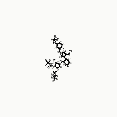 CC(C)(C)[Si](C)(C)OC[C@H]1C[C@@H](Nc2ncccc2-c2cn(Cc3cccc(OC(F)(F)F)c3)cc2C=O)[C@@H](F)[C@@H]1O[Si](C)(C)C(C)(C)C